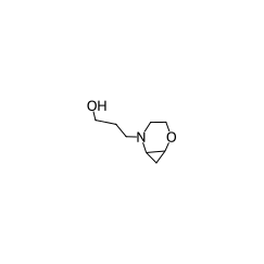 OCCCN1CCOC2CC21